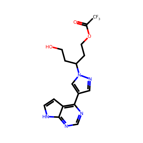 O=C(OCCC(CCO)n1cc(-c2ncnc3[nH]ccc23)cn1)C(F)(F)F